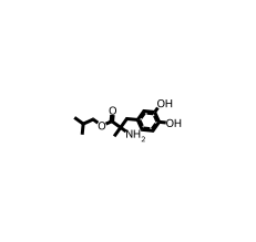 CC(C)COC(=O)C(C)(N)Cc1ccc(O)c(O)c1